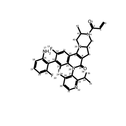 C=CC(=O)N1CC2Cc3c(c4cc(F)c(-c5c(N)cccc5F)c(F)c4n(-c4c(C)ccnc4C(C)C)c3=O)N2CC1C